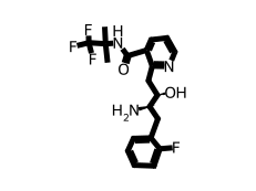 CC(C)(NC(=O)c1cccnc1C[C@H](O)[C@H](N)Cc1ccccc1F)C(F)(F)F